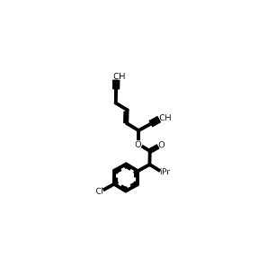 C#CCC=CC(C#C)OC(=O)C(c1ccc(Cl)cc1)C(C)C